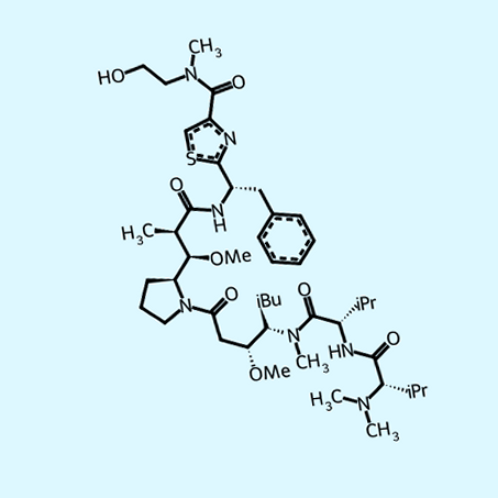 CC[C@H](C)[C@@H]([C@@H](CC(=O)N1CCC[C@H]1[C@H](OC)[C@@H](C)C(=O)N[C@@H](Cc1ccccc1)c1nc(C(=O)N(C)CCO)cs1)OC)N(C)C(=O)[C@@H](NC(=O)[C@H](C(C)C)N(C)C)C(C)C